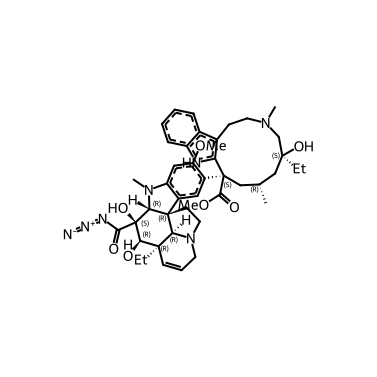 CC[C@]1(O)C[C@H](C)C[C@](C(=O)OC)(c2cc3c(cc2OC)N(C)[C@H]2[C@@](O)(C(=O)N=[N+]=[N-])[C@H](O)[C@]4(CC)C=CCN5CC[C@]32[C@@H]54)c2[nH]c3ccccc3c2CCN(C)C1